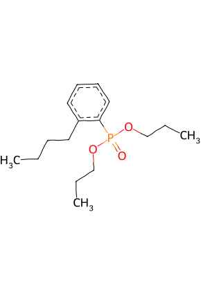 CCCCc1ccccc1P(=O)(OCCC)OCCC